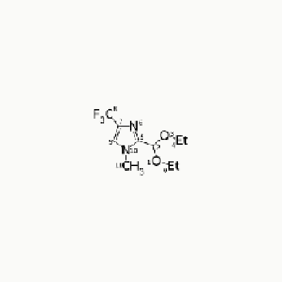 CCOC(OCC)c1nc(C(F)(F)F)cn1C